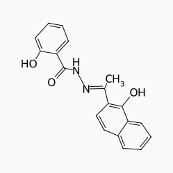 C/C(=N\NC(=O)c1ccccc1O)c1ccc2ccccc2c1O